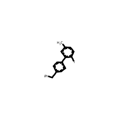 Cc1ccc(I)c(-c2ccc(CC(C)C)cc2)c1